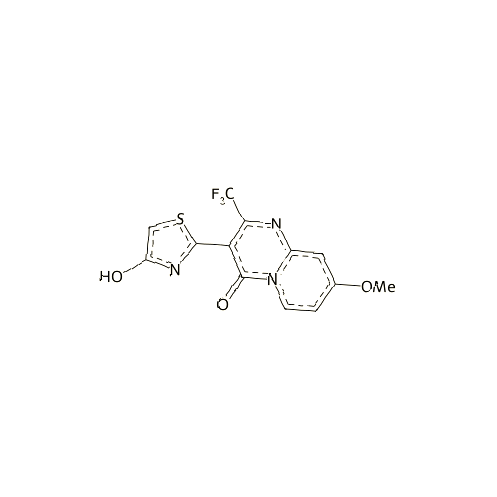 COc1ccn2c(=O)c(-c3nc(O)cs3)c(C(F)(F)F)nc2c1